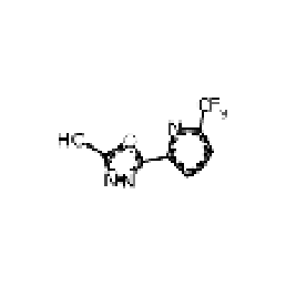 Oc1nnc(-c2cccc(C(F)(F)F)n2)o1